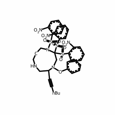 CCCCC#CC1CNCCCN(S(=O)(=O)c2ccccc2[N+](=O)[O-])C(S(=O)(=O)c2ccccc2[N+](=O)[O-])(S(=O)(=O)c2ccccc2[N+](=O)[O-])CN1Oc1ccccc1